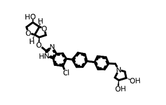 O[C@@H]1CO[C@H]2[C@@H]1OC[C@H]2Oc1nc2cc(-c3ccc(-c4ccc(CN5C[C@H](O)[C@@H](O)C5)cc4)cc3)c(Cl)cc2[nH]1